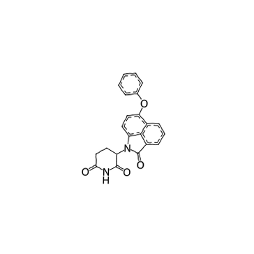 O=C1CCC(N2C(=O)c3cccc4c(Oc5ccccc5)ccc2c34)C(=O)N1